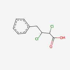 O=C(O)C(Cl)C(Cl)Cc1ccccc1